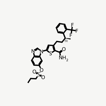 CCCS(=O)(=O)Oc1ccc2ncn(-c3cc(CC[C@H](C)c4ccccc4C(F)(F)F)c(C(N)=O)s3)c2c1